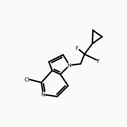 FC(F)(Cn1ccc2c(Cl)nccc21)C1CC1